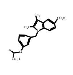 Cc1c(C)n(Cc2cccc(O[C@@H](C(=O)O)C(C)C)c2)c2ccc(C(=O)O)cc12